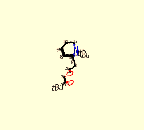 CC(C)(C)C(=O)COCCC1CCCCN1C(C)(C)C